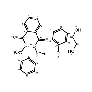 CCCCCCCCOC(=O)c1ccccc1C(=O)OCCCCCCCC.OCCO.Oc1ccccc1.c1ccccc1